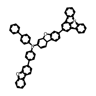 C1=CC2c3ccc(-c4cc5c6ccccc6n6c7ccccc7c(c4)c56)cc3OC2C=C1N(c1ccc(-c2ccccc2)cc1)c1ccc(-c2ccc3c(c2)oc2ccccc23)cc1